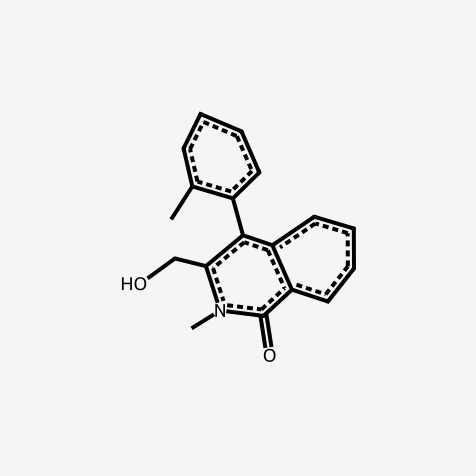 Cc1ccccc1-c1c(CO)n(C)c(=O)c2ccccc12